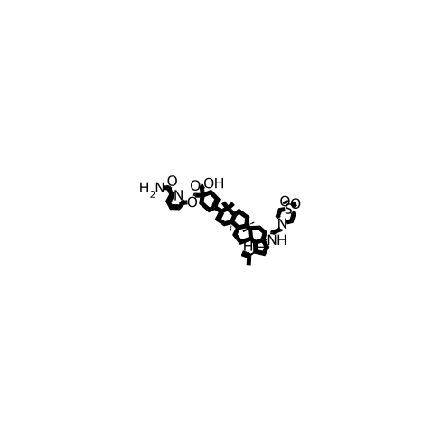 C=C(C)[C@@H]1CC[C@]2(NCCN3CCS(=O)(=O)CC3)CC[C@]3(C)[C@H](CCC4[C@@]5(C)CC=C(C6=CCC(COc7cccc(C(N)=O)n7)(C(=O)O)CC6)C(C)(C)C5CC[C@]43C)[C@@H]12